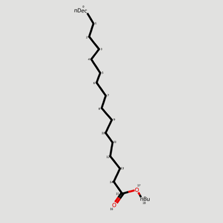 CCCCCCCCCCCCCCCCCCCCCCCCC(=O)OCCCC